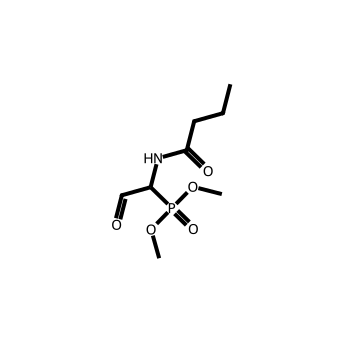 CCCC(=O)NC(C=O)P(=O)(OC)OC